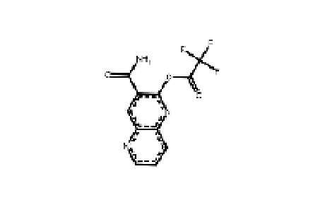 NC(=O)c1cc2ncccc2nc1OC(=O)C(F)(F)F